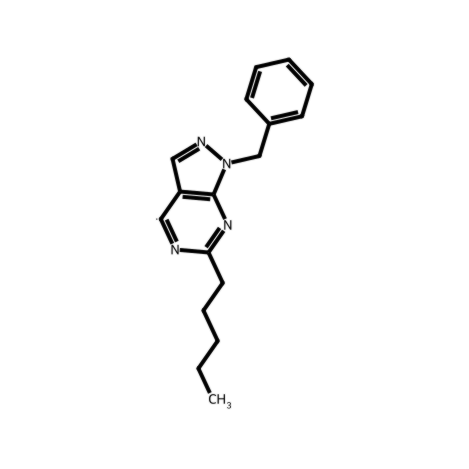 CCCCCc1n[c]c2cnn(Cc3ccccc3)c2n1